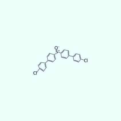 [O-][S+](c1ccc(-c2ccc(Cl)cc2)cc1)c1ccc(-c2ccc(Cl)cc2)cc1